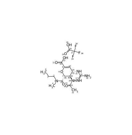 CCCN(C)C(=O)[C@@H]1OC(C(=O)O)=C[C@H](NC(=N)N)[C@H]1NC(C)=O.O=C(O)C(F)(F)F